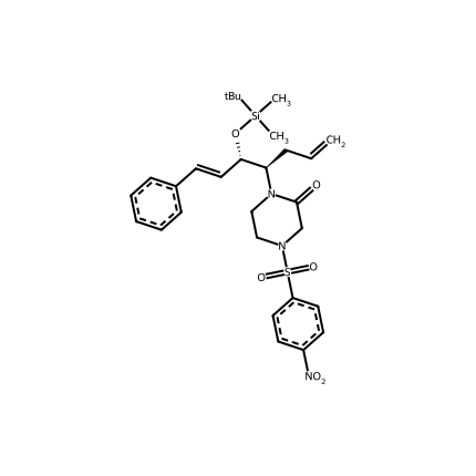 C=CC[C@H]([C@H](/C=C/c1ccccc1)O[Si](C)(C)C(C)(C)C)N1CCN(S(=O)(=O)c2ccc([N+](=O)[O-])cc2)CC1=O